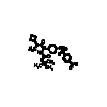 CN(C(=O)[C@@H](NC(=O)OC(C)(C)C)[C@H]1CC[C@H](NS(=O)(=O)c2ccc([N+](=O)[O-])cc2)CC1)C1CCC1